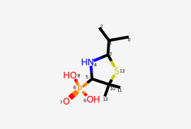 CC(C)C1NC(P(=O)(O)O)C(C)(C)S1